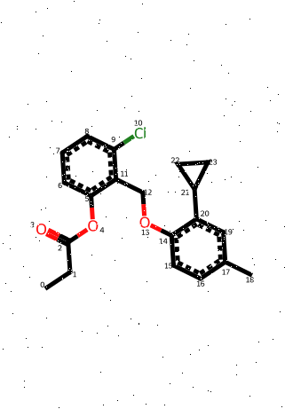 CCC(=O)Oc1cccc(Cl)c1COc1ccc(C)cc1C1CC1